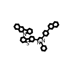 c1ccc(-c2nc(-c3ccc(-c4ccc5ccccc5c4)cc3)cc(-c3ccc4c(c3)sc3cccc(-n5c6ccccc6c6cc7ccccc7cc65)c34)n2)cc1